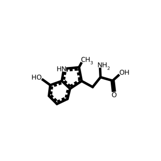 Cc1[nH]c2c(O)cccc2c1CC(N)C(=O)O